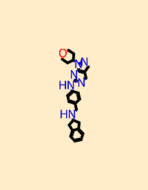 c1ccc2c(c1)CC(NCc1ccc(Nc3ncc4cnn(C5CCOCC5)c4n3)cc1)C2